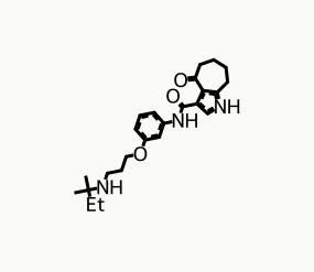 CCC(C)(C)NCCCOc1cccc(NC(=O)c2c[nH]c3c2C(=O)CCCC3)c1